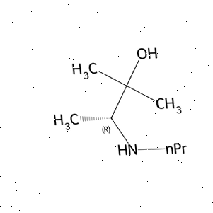 CCCN[C@H](C)C(C)(C)O